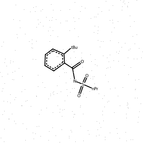 CCCS(=O)(=O)[N]C(=O)c1ccccc1C(C)(C)C